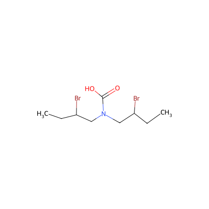 CCC(Br)CN(CC(Br)CC)C(=O)O